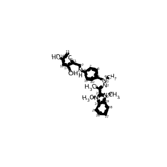 C/C(=N\N(C)c1ccc(NCc2ccc(O)cc2O)cc1)c1n(C)c2ccccc2[n+]1C